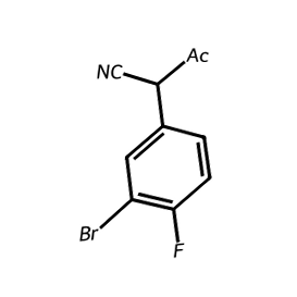 CC(=O)C(C#N)c1ccc(F)c(Br)c1